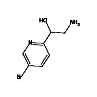 NCC(O)c1ccc(Br)cn1